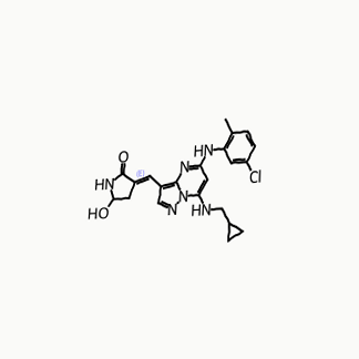 Cc1ccc(Cl)cc1Nc1cc(NCC2CC2)n2ncc(/C=C3\CC(O)NC3=O)c2n1